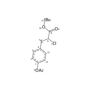 CC(=O)Oc1ccc(SC(Cl)C(=O)OC(C)(C)C)cc1